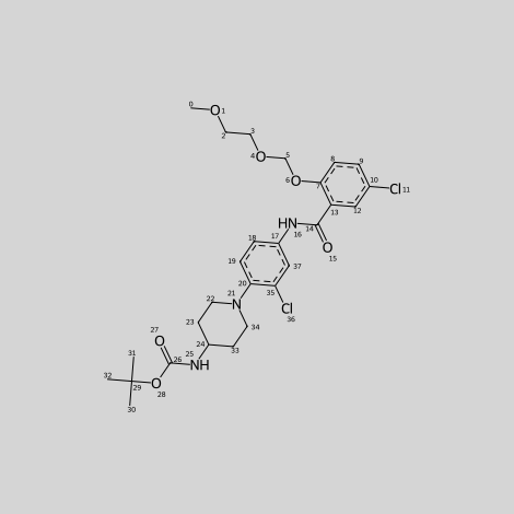 COCCOCOc1ccc(Cl)cc1C(=O)Nc1ccc(N2CCC(NC(=O)OC(C)(C)C)CC2)c(Cl)c1